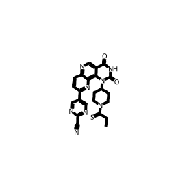 CCC(=S)N1CCC(n2c(=O)[nH]c(=O)c3cnc4ccc(-c5cnc(C#N)nc5)nc4c32)CC1